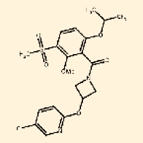 COc1c(S(C)(=O)=O)ccc(OC(C)C(F)(F)F)c1C(=O)N1CC(Oc2ccc(Cl)cn2)C1